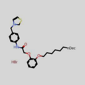 Br.CCCCCCCCCCCCCCCCOc1ccccc1OCC(=O)Nc1ccc(CN2C=CSC2)cc1